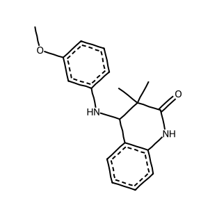 COc1cccc(NC2c3ccccc3NC(=O)C2(C)C)c1